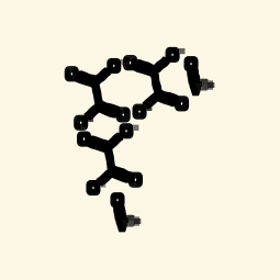 O=C([O-])C(=O)[O-].O=C([O-])C(=O)[O-].O=C([O-])C(=O)[O-].[O]=[V+3].[O]=[V+3]